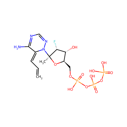 C=C/C=C1/C(N)=NC=NN1[C@]1(C)O[C@H](COP(=O)(O)OP(=O)(O)OP(=O)(O)O)[C@@H](O)[C@H]1F